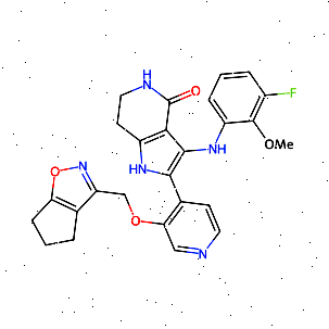 COc1c(F)cccc1Nc1c(-c2ccncc2OCc2noc3c2CCC3)[nH]c2c1C(=O)NCC2